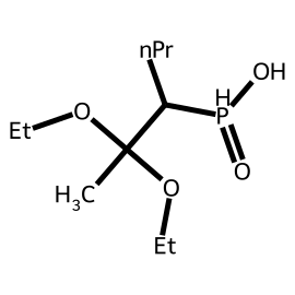 CCCC([PH](=O)O)C(C)(OCC)OCC